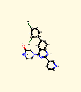 O=C1CN(c2nc(-c3cccnc3)nc3ccc(-c4ccc(F)cc4F)cc23)CCN1